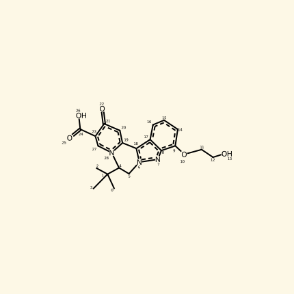 CC(C)(C)C1Cn2nc3c(OCCO)cccc3c2-c2cc(=O)c(C(=O)O)cn21